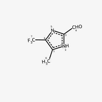 Cc1[nH]c(C=O)nc1C(F)(F)F